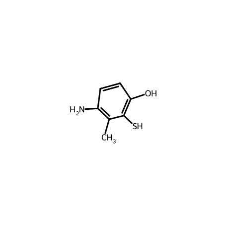 Cc1c(N)ccc(O)c1S